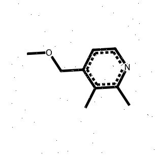 COCc1ccnc(C)c1C